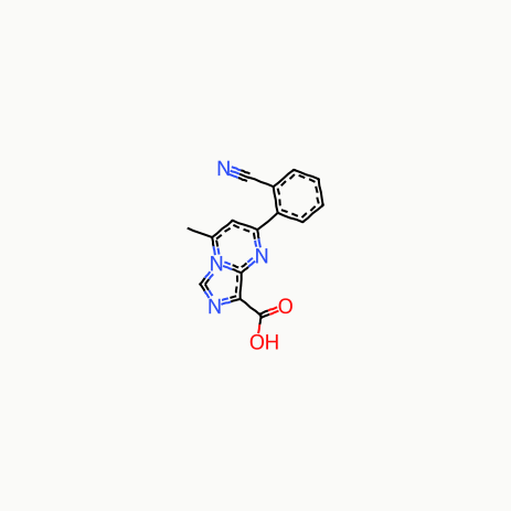 Cc1cc(-c2ccccc2C#N)nc2c(C(=O)O)ncn12